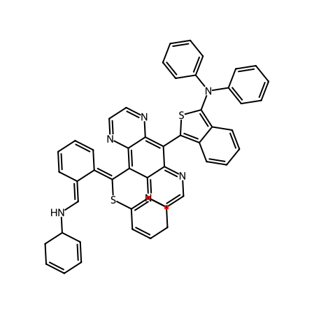 C1=CCC(N/C=c2\cccc\c2=C(\SC2=CCCC=C2)c2c3nccnc3c(-c3sc(N(c4ccccc4)c4ccccc4)c4ccccc34)c3nccnc23)C=C1